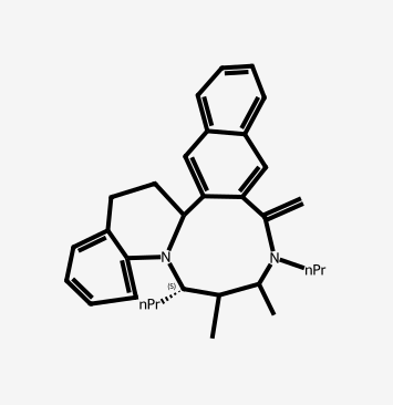 C=C1c2cc3ccccc3cc2C2CCc3ccccc3N2[C@@H](CCC)C(C)C(C)N1CCC